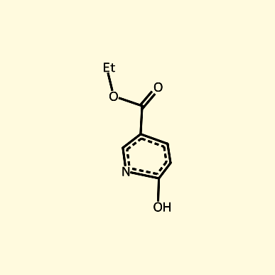 CCOC(=O)c1ccc(O)nc1